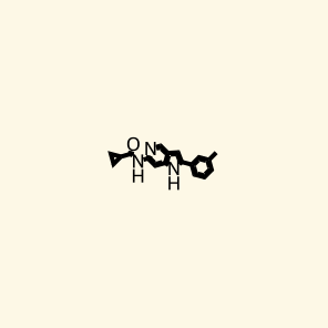 Cc1cccc(-c2cc3cnc(NC(=O)C4CC4)cc3[nH]2)c1